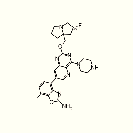 Nc1nc2c(-c3cnc4c(N5CCNCC5)nc(OCC56CCCN5C[C@H](F)C6)nc4c3)ccc(F)c2o1